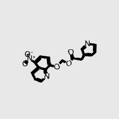 O=C(Cc1cccnc1)OCOc1ccc([N+](=O)[O-])c2cccnc12